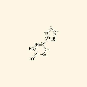 O=C1NN=C(c2nccs2)CS1